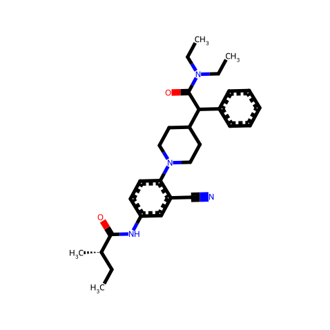 CC[C@H](C)C(=O)Nc1ccc(N2CCC(C(C(=O)N(CC)CC)c3ccccc3)CC2)c(C#N)c1